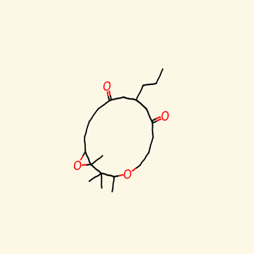 CCCC1CC(=O)CCCOC(C)C(C)(C)C2(C)OC2CCCC(=O)C1